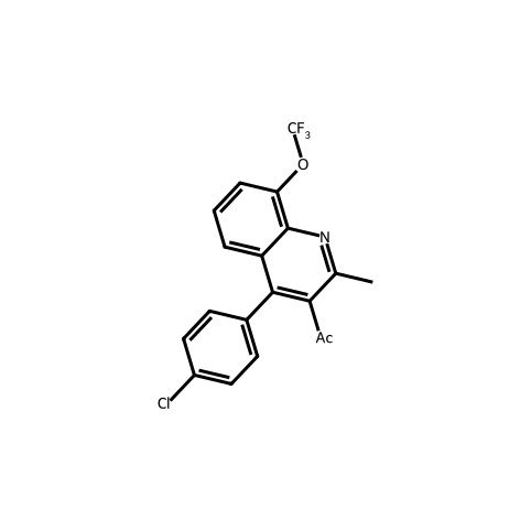 CC(=O)c1c(C)nc2c(OC(F)(F)F)cccc2c1-c1ccc(Cl)cc1